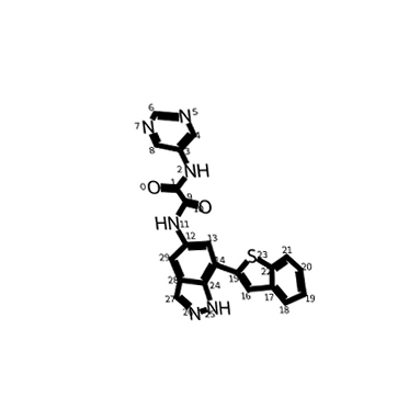 O=C(Nc1cncnc1)C(=O)Nc1cc(-c2cc3ccccc3s2)c2[nH]ncc2c1